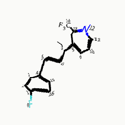 Fc1ccc(C=CCc2c[c]cnc2C(F)(F)F)cc1